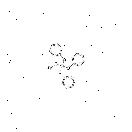 CC(C)[O][Ti]([O]c1ccccc1)([O]c1ccccc1)[O]c1ccccc1